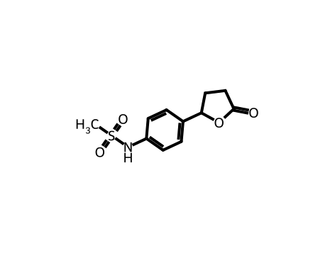 CS(=O)(=O)Nc1ccc(C2CCC(=O)O2)cc1